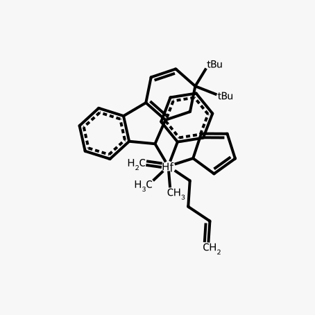 C=CC[CH2][Hf](=[CH2])([CH3])([CH3])([c]1ccccc1)([CH]1C=CC=C1)[CH]1C2=C(C=CC(C(C)(C)C)(C(C)(C)C)C2)c2ccccc21